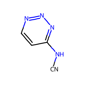 N#CNc1ccnnn1